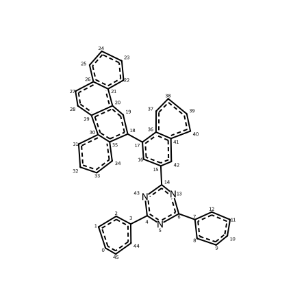 c1ccc(-c2nc(-c3ccccc3)nc(-c3cc(-c4cc5c6ccccc6ccc5c5ccccc45)c4ccccc4c3)n2)cc1